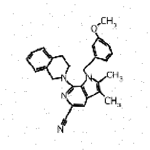 COc1cccc(Cn2c(C)c(C)c3cc(C#N)nc(N4CCc5ccccc5C4)c32)c1